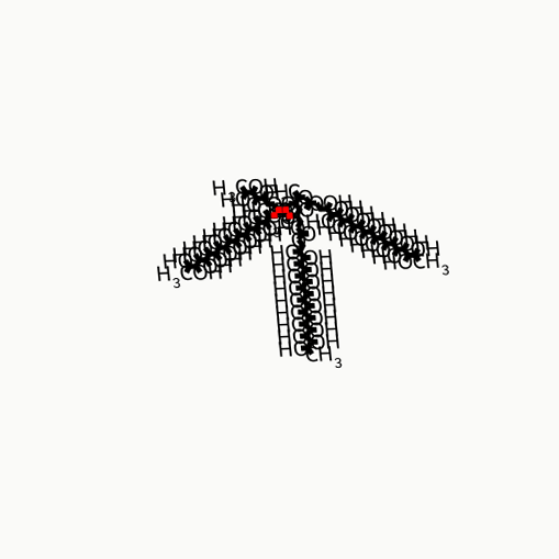 C=C(OC(=O)OCC(O)C(O)C(O)C(O)C(O)C(O)C(O)C(O)C(O)C(O)C(O)C(O)C(O)C(O)C(O)C(O)C(C)O)C(CC(COC(=O)OCC(O)C(O)C(O)C(O)C(O)C(O)C(O)C(O)C(O)C(O)C(O)C(O)C(O)C(O)C(O)C(O)C(C)O)C(C)OC(=O)OCC(O)C(O)C(O)C(C)O)OC(=O)OCC(O)C(O)C(O)C(O)C(O)C(O)C(O)C(O)C(O)C(O)C(O)C(O)C(O)C(O)C(O)C(O)C(C)O